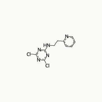 Clc1nc(Cl)nc(NCCc2ccccn2)n1